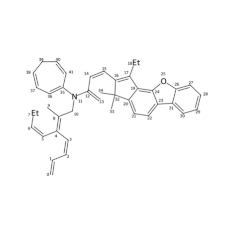 C=C\C=C/C(/C=C\CC)=C(/C)CN(C(=C)/C=C\C1=C(CC)c2c(ccc3c2oc2ccccc23)C1(C)C)C1=CC=CCC=C1